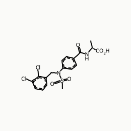 C[C@H](NC(=O)c1ccc(N(Cc2cccc(Cl)c2Cl)S(C)(=O)=O)cc1)C(=O)O